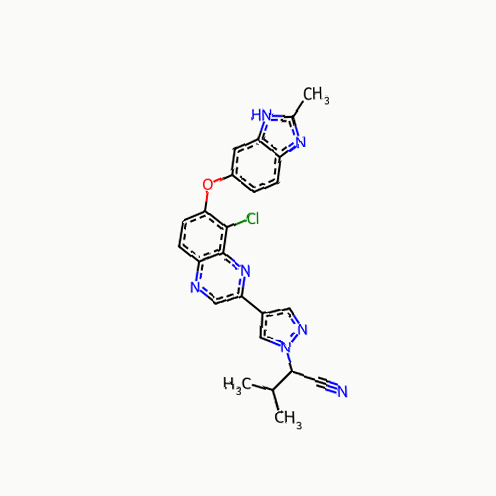 Cc1nc2ccc(Oc3ccc4ncc(-c5cnn(C(C#N)C(C)C)c5)nc4c3Cl)cc2[nH]1